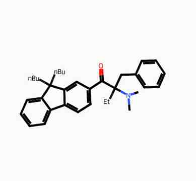 CCCCC1(CCCC)c2ccccc2-c2ccc(C(=O)C(CC)(Cc3ccccc3)N(C)C)cc21